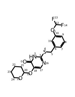 O=c1[nH]c(SCc2cccc(OC(F)F)c2)ncc1OC1CCCCO1